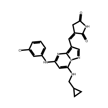 O=C1CC(=Cc2cnn3c(NCC4CC4)cc(Nc4cccc(Cl)c4)nc23)C(=O)N1